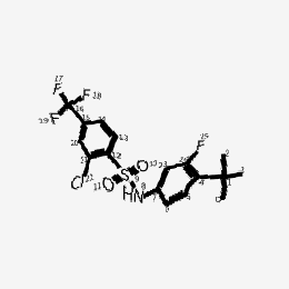 CC(C)(C)c1ccc(NS(=O)(=O)c2ccc(C(F)(F)F)cc2Cl)cc1F